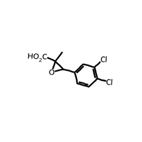 CC1(C(=O)O)OC1c1ccc(Cl)c(Cl)c1